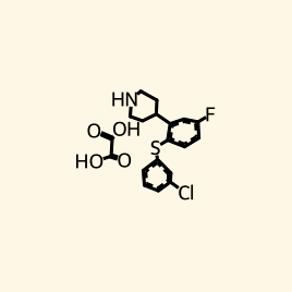 Fc1ccc(Sc2cccc(Cl)c2)c(C2CCNCC2)c1.O=C(O)C(=O)O